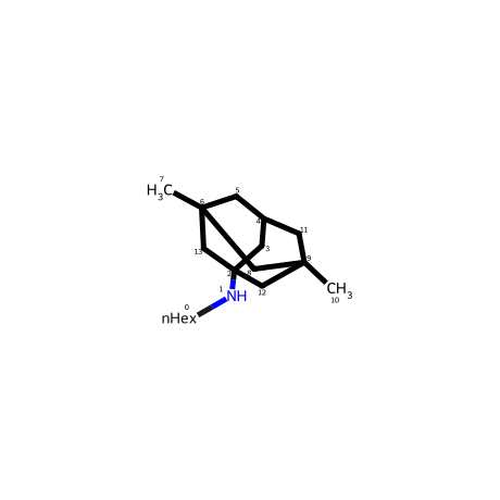 CCCCCCNC12CC3CC(C)(CC(C)(C3)C1)C2